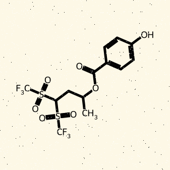 CC(CC(S(=O)(=O)C(F)(F)F)S(=O)(=O)C(F)(F)F)OC(=O)c1ccc(O)cc1